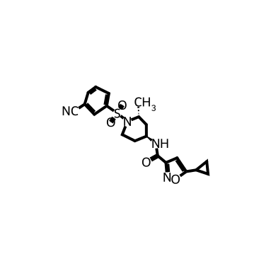 C[C@@H]1C[C@@H](NC(=O)c2cc(C3CC3)on2)CCN1S(=O)(=O)c1cccc(C#N)c1